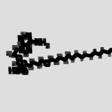 CCCCCCCCCCCCCCCOCCCCOP(=O)(O)CO[C@H](C)Cn1cnc2c(N)ncnc21